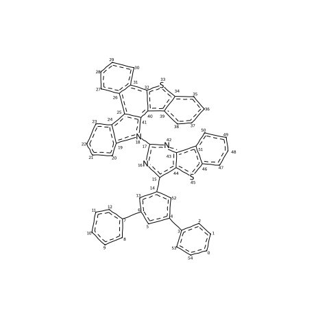 c1ccc(-c2cc(-c3ccccc3)cc(-c3nc(-n4c5ccccc5c5c6ccccc6c6sc7ccccc7c6c54)nc4c3sc3ccccc34)c2)cc1